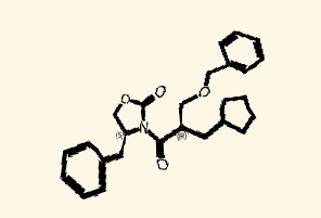 O=C1OC[C@H](Cc2ccccc2)N1C(=O)[C@@H](COCc1ccccc1)CC1CCCC1